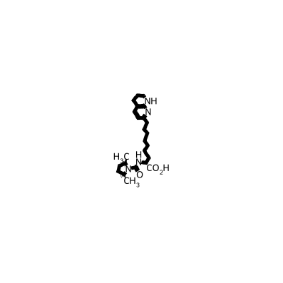 C[C@@H]1CC[C@@H](C)N1C(=O)N[C@@H](CCCCCCCc1ccc2c(n1)NCCC2)C(=O)O